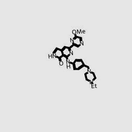 CCN1CCN(Cc2ccc(Nc3nc(-c4cncc(OC)n4)cc4cc[nH]c(=O)c34)cc2)CC1